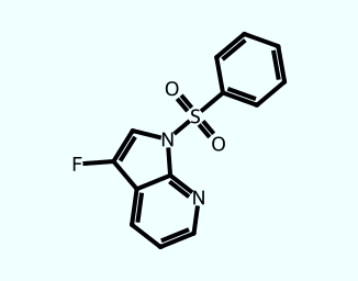 O=S(=O)(c1ccccc1)n1cc(F)c2cccnc21